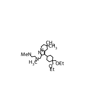 CCOCC1(COCC)CCC(c2c(CN(C)CCNC)nn3c2CC(C)(C)CC3)CC1